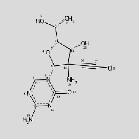 C[C@@H](O)[C@H]1O[C@@H](n2cnc(N)nc2=O)C(N)(C#CCl)[C@H]1O